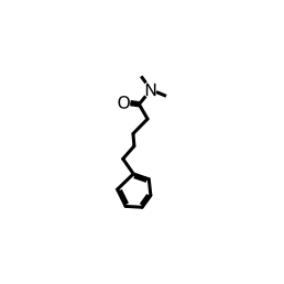 CN(C)C(=O)CCCCc1ccccc1